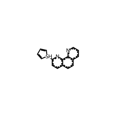 C1=C[SH](c2ccc3ccc4cccnc4c3n2)C=C1